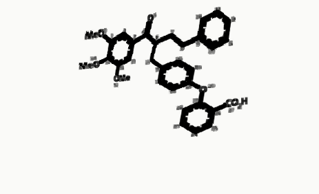 COc1cc(C(=O)C(CCc2ccccc2)Cc2ccc(Oc3ccccc3C(=O)O)cc2)cc(OC)c1OC